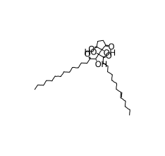 CCCC/C=C/CCCCCCCC(=O)C(O)(C(O)C(=O)CCCCCCCCCCCCC)C1(O)C(=O)CCC1=O